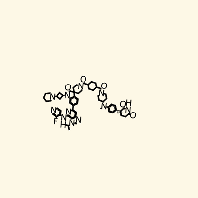 CC(C)n1cnc2cc(-c3ccc4c(c3)N(C3CC(N5CCCCC5)C3)C(=O)C43CCN(C(=O)C4CCC(C(=O)N5CCC(N(C)c6ccc([C@H]7CCC(=O)NC7=O)cc6)CC5)CC4)CC3)nc(Nc3ccncc3F)c21